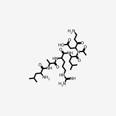 CC(=O)N(C(=O)C(CC(C)C)NC(=O)C(CCCNC(=N)N)NC(=O)C(C)NC(=O)C(N)CC(C)C)C(CC(=O)O)C(=O)CCN